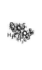 C/C=C(/c1cc(OC)c(C(C)=O)c(OC(F)F)c1)N1C=CC(C2COCCN2C)=C/C1=C\CCC